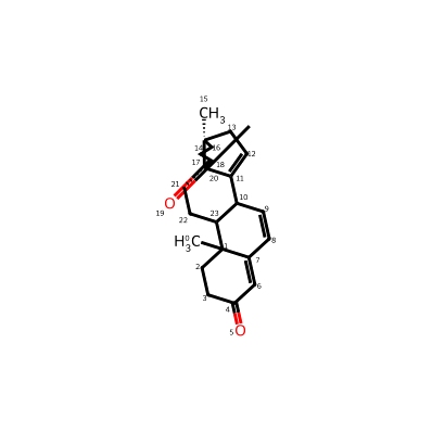 CC12CCC(=O)C=C1C=CC1C3=CC[C@@]4(C)CCC(=O)[C@@]34CCC12